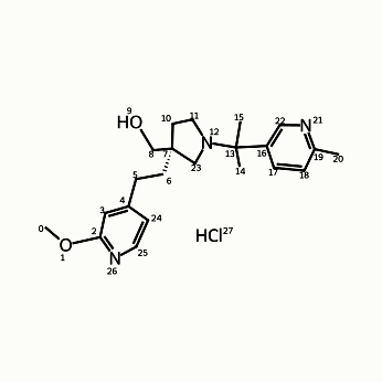 COc1cc(CC[C@]2(CO)CCN(C(C)(C)c3ccc(C)nc3)C2)ccn1.Cl